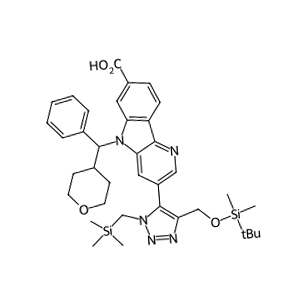 CC(C)(C)[Si](C)(C)OCc1nnn(C[Si](C)(C)C)c1-c1cnc2c3ccc(C(=O)O)cc3n(C(c3ccccc3)C3CCOCC3)c2c1